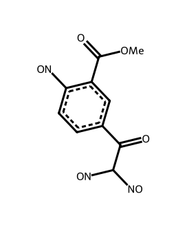 COC(=O)c1cc(C(=O)C(N=O)N=O)ccc1N=O